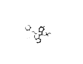 CO[C@@H](C)c1ncccc1-c1c(CC(C)(C)CO)c2cc(Br)ccc2n1CCOC1CCOCC1